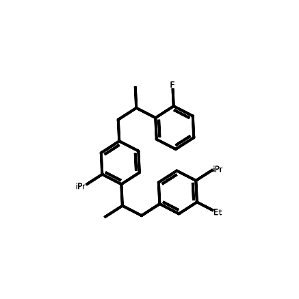 CCc1cc(CC(C)c2ccc(CC(C)c3ccccc3F)cc2C(C)C)ccc1C(C)C